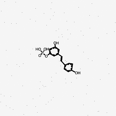 O=P(O)(O)Oc1cc(O)cc(C=Cc2ccc(O)cc2)c1